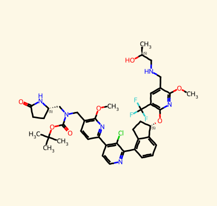 COc1nc(-c2ccnc(-c3cccc4c3CC[C@@H]4Oc3nc(OC)c(CNC[C@H](C)O)cc3C(F)(F)F)c2Cl)ccc1CN(C[C@@H]1CCC(=O)N1)C(=O)OC(C)(C)C